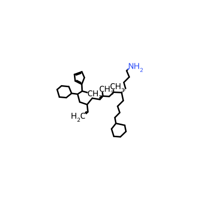 C=CC(C/C=C(\C)C[C@@H](C)[C@H](CCCCN)CCCCC1CCCCC1)CC(C1CCCCC1)C(C)C1=CC=CC1